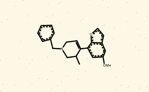 COc1cc(C2=CCN(Cc3ccccc3)CC2C)c2occc2c1